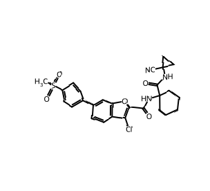 CS(=O)(=O)c1ccc(-c2ccc3c(Cl)c(C(=O)NC4(C(=O)NC5(C#N)CC5)CCCCC4)oc3c2)cc1